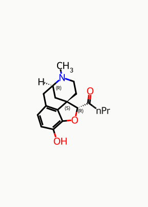 CCCC(=O)[C@@H]1Oc2c(O)ccc3c2[C@@]12CCN(C)[C@H](C3)C2